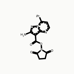 CC(C)c1ccnc2c(C(=O)ON3C(=O)CCC3=O)c(N)nn12